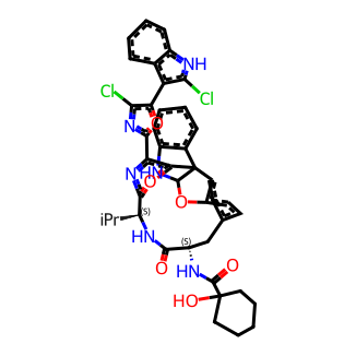 CC(C)[C@@H]1NC(=O)[C@@H](NC(=O)C2(O)CCCCC2)Cc2ccc3c(c2)C2(c4ccccc4NC2O3)c2oc1nc2-c1nc(Cl)c(-c2c(Cl)[nH]c3ccccc23)o1